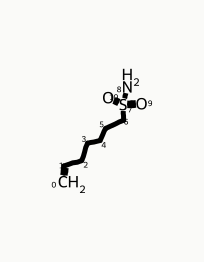 C=CCCCCCS(N)(=O)=O